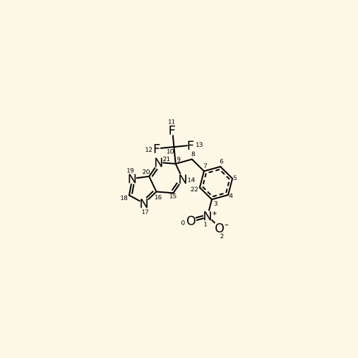 O=[N+]([O-])c1cccc(CC2(C(F)(F)F)N=CC3=NC=NC3=N2)c1